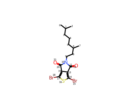 CC(C)CCCC(C)CCN1C(=O)c2c(Br)sc(Br)c2C1=O